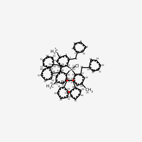 Cc1cc(Cc2ccccc2)c([Si](Cl)(c2c(Cc3ccccc3)cc(C)cc2Cc2ccccc2)c2c(Cc3ccccc3)cc(C)cc2Cc2ccccc2)c(Cc2ccccc2)c1